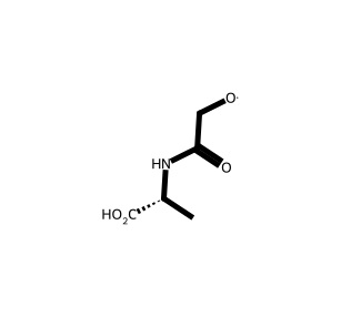 C[C@@H](NC(=O)C[O])C(=O)O